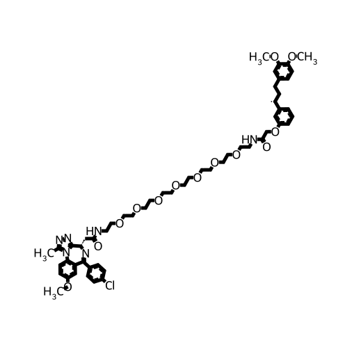 COc1ccc2c(c1)C(c1ccc(Cl)cc1)=N[C@@H](CC(=O)NCCOCCOCCOCCOCCOCCOCCOCCNC(=O)COc1cccc([CH]CCc3ccc(OC)c(OC)c3)c1)c1nnc(C)n1-2